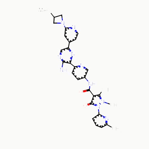 COC1CN(c2cc(-c3cnc(N)c(-c4ccc(NC(=O)c5c(C)n(C)n(-c6cccc(C)n6)c5=O)cn4)n3)ccn2)C1